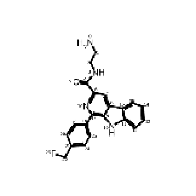 NCCNC(=O)c1cc2c([nH]c3ccccc32)c(-c2ccc(CF)cc2)n1